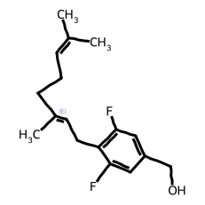 CC(C)=CCC/C(C)=C/Cc1c(F)cc(CO)cc1F